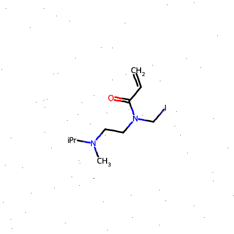 C=CC(=O)N(CI)CCN(C)C(C)C